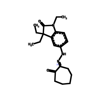 CCN1C(=O)C(CC)(CC)c2cc(N/N=C3\CCCCCC3=O)ccc21